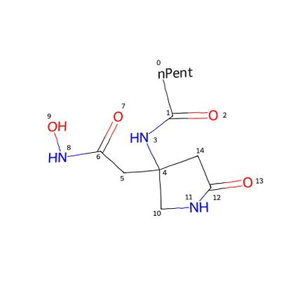 CCCCCC(=O)NC1(CC(=O)NO)CNC(=O)C1